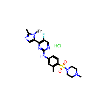 Cc1cc(Nc2ncc(F)c(-c3cnc(C)n3C(C)C)n2)ccc1S(=O)(=O)N1CCN(C)CC1.Cl